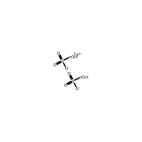 CCCCCCCCS(=O)(=O)[O-].CCCCCCCCS(=O)(=O)[O-].[Ca+2]